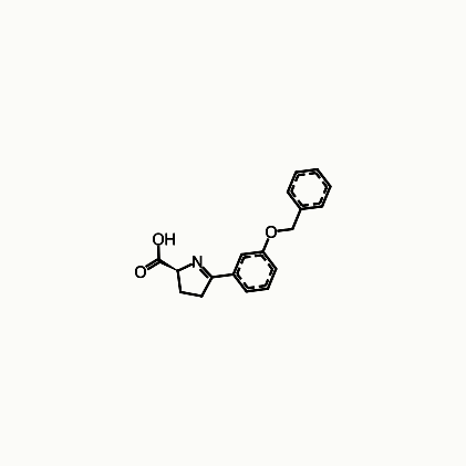 O=C(O)[C@@H]1CCC(c2cccc(OCc3ccccc3)c2)=N1